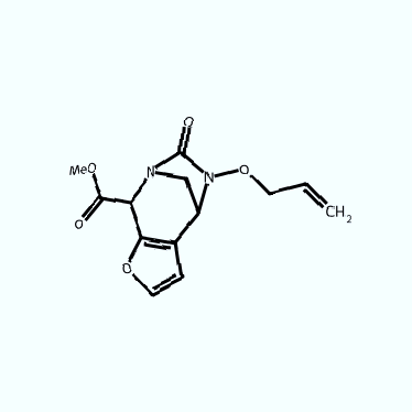 C=CCON1C(=O)N2CC1c1ccoc1C2C(=O)OC